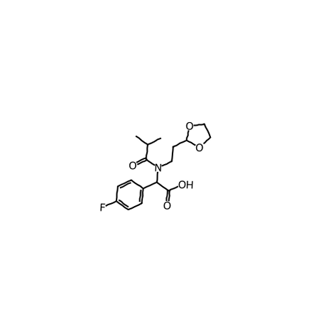 CC(C)C(=O)N(CCC1OCCO1)C(C(=O)O)c1ccc(F)cc1